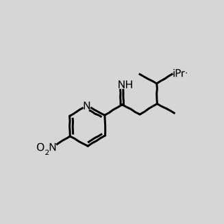 C[C](C)C(C)C(C)CC(=N)c1ccc([N+](=O)[O-])cn1